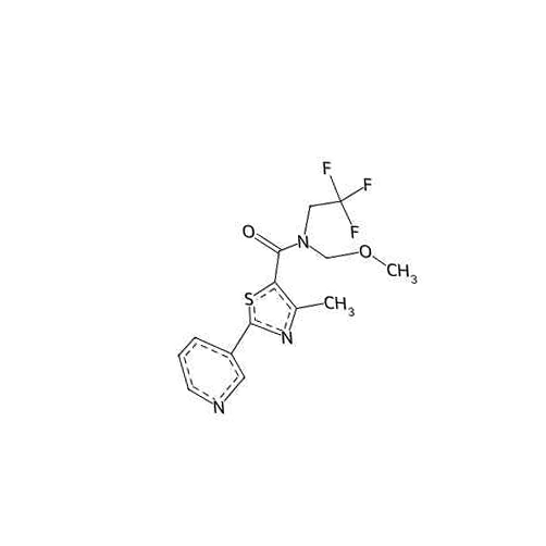 COCN(CC(F)(F)F)C(=O)c1sc(-c2cccnc2)nc1C